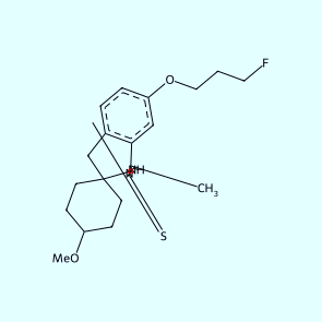 COC1CCC2(CC1)Cc1ccc(OCCCF)cc1C21N=C(C)C(=S)N1